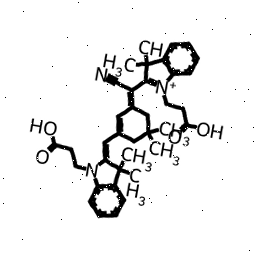 CC1(C)CC(/C=C2/N(CCC(=O)O)c3ccccc3C2(C)C)=CC(=C(\C#N)C2=[N+](CCC(=O)O)c3ccccc3C2(C)C)/C1